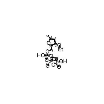 CCOC1C[C@H](C)O[C@@H]1COP(=O)(O)OP(=O)(O)OP(=O)(O)O